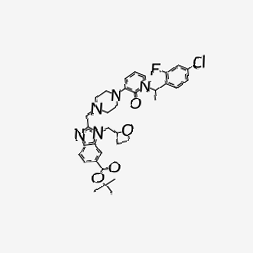 CC(c1ccc(Cl)cc1F)n1cccc(N2CCN(Cc3nc4ccc(C(=O)OC(C)(C)C)cc4n3CC3CCO3)CC2)c1=O